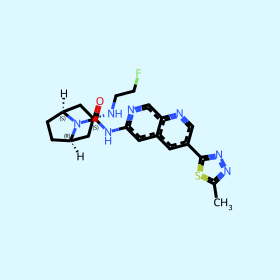 Cc1nnc(-c2cnc3cnc(NC(=O)N4[C@@H]5CC[C@H]4C[C@H](NCCF)C5)cc3c2)s1